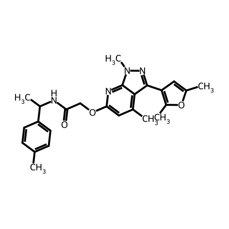 Cc1ccc(C(C)NC(=O)COc2cc(C)c3c(-c4cc(C)oc4C)nn(C)c3n2)cc1